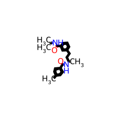 Cc1ccc(C(=O)NC(C)CCc2cccc(C(=O)NC(C)C)c2)cc1